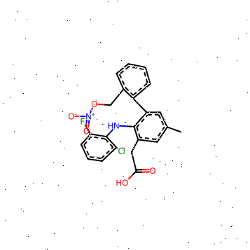 Cc1cc(CC(=O)O)c(Nc2c(F)cccc2Cl)c(-c2ccccc2CO[N+](=O)[O-])c1